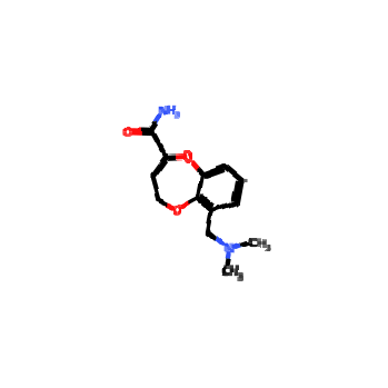 CN(C)Cc1c[c]cc2c1OCCC(C(N)=O)O2